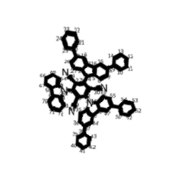 N#Cc1c(C2c3ccc(-c4ccccc4)cc3-c3cc(-c4ccccc4)ccc32)c(C#N)c(-n2c3ccc(-c4ccccc4)cc3c3cc(-c4ccccc4)ccc32)c(C#N)c1-n1c2ccccc2c2ccccc21